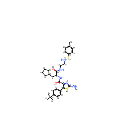 CNc1nc(C(=O)NC(CC2CCCC2)C(=O)NCCNSc2ccc(C)cc2)c(-c2ccc(C(C)(C)C)cc2)s1